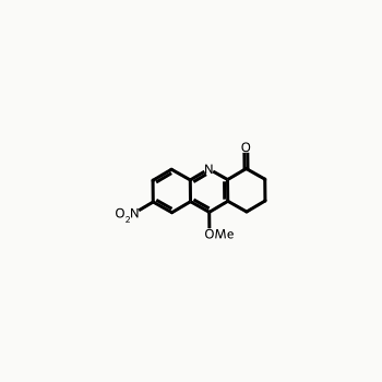 COc1c2c(nc3ccc([N+](=O)[O-])cc13)C(=O)CCC2